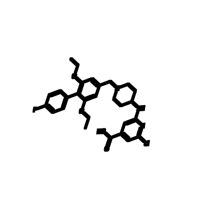 CCOc1cc(CN2CCC(Nc3cc(C(=O)O)cc(Cl)n3)CC2)cc(OCC)c1-c1ccc(F)cc1